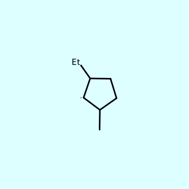 CCC1[CH]C(C)CC1